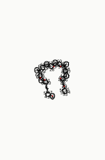 COc1cccc(C#Cc2cccc(Oc3ccc(C(=O)c4ccc(Oc5cccc(Oc6ccc(C(=O)c7ccc(Oc8cccc(C#Cc9ccccc9)c8)cc7)cc6)c5)cc4)cc3)c2)c1